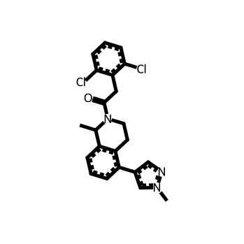 CC1c2cccc(-c3cnn(C)c3)c2CCN1C(=O)Cc1c(Cl)cccc1Cl